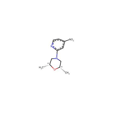 C[C@@H]1CN(c2cc([N+](=O)[O-])ccn2)C[C@H](C)O1